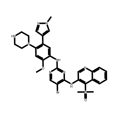 COc1cc(N2CCNCC2)c(-c2cnn(C)c2)cc1Nc1ncc(Br)c(Nc2cnc3ccccc3c2P(C)(C)=O)n1